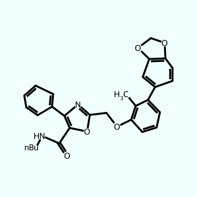 CCCCNC(=O)c1oc(COc2cccc(-c3ccc4c(c3)OCO4)c2C)nc1-c1ccccc1